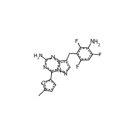 Cc1ccc(-c2nc(N)nc3c(Cc4c(F)cc(F)c(N)c4F)cnn23)o1